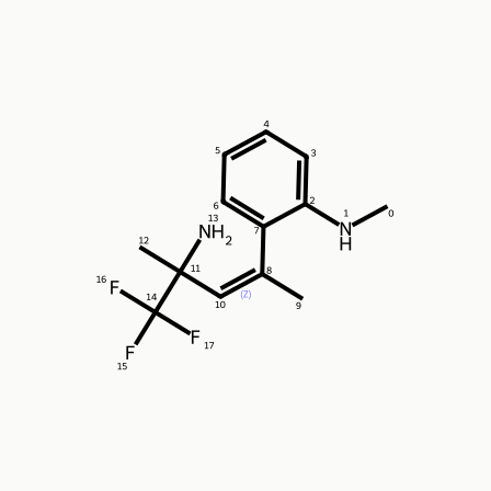 CNc1ccccc1/C(C)=C\C(C)(N)C(F)(F)F